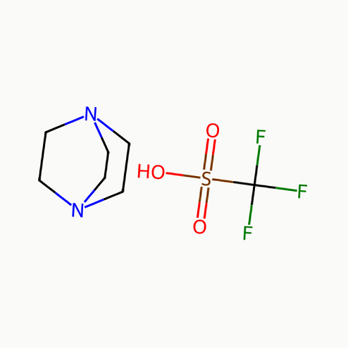 C1CN2CCN1CC2.O=S(=O)(O)C(F)(F)F